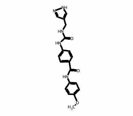 COc1ccc(NC(=O)c2ccc(NC(=O)NCc3cn[nH]c3)cc2)cc1